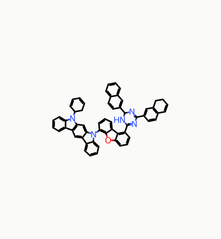 C1=CCC(n2c3ccccc3c3cc4c5ccccc5n(-c5cccc6c5oc5cccc(C7=NC(c8ccc9c(c8)CCC=C9)=NC(c8ccc9ccccc9c8)N7)c56)c4cc32)C=C1